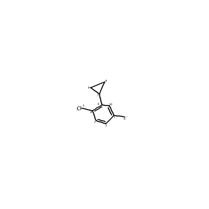 [CH2]c1ccc(Cl)c(C2CC2)c1